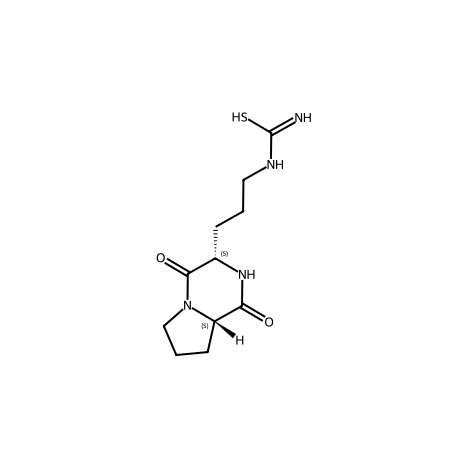 N=C(S)NCCC[C@@H]1NC(=O)[C@@H]2CCCN2C1=O